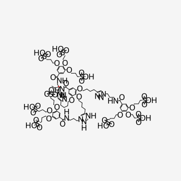 CCCNC(=O)c1cc(OCCCCc2cn(CCCNC(=O)c3cc(OCCCS(=O)(=O)O)c(OCCS(=O)(=O)O)c(OCCCS(=O)(=O)O)c3)nn2)c(OCCCCC2=CN(CCCNC(=O)c3cc(OCCCS(=O)(=O)O)c(OCCCS(=O)(=O)O)c(OCCCS(=O)(=O)O)c3)NCN2)c(OCCCCc2cn(CCCNC(=O)c3cc(OCCCS(=O)(=O)O)c(OCCS(=O)(=O)O)c(OCCCS(=O)(=O)O)c3)nn2)c1